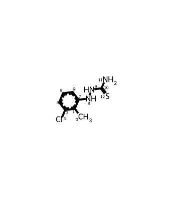 Cc1c(Cl)cccc1NNC(N)=S